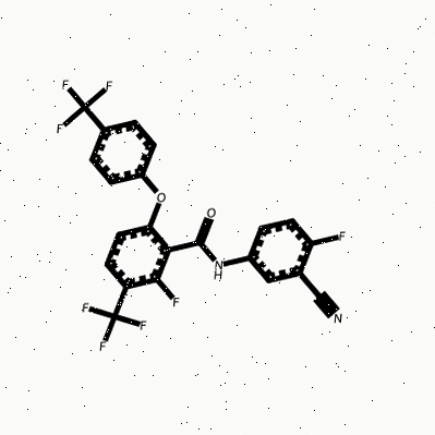 N#Cc1cc(NC(=O)c2c(Oc3ccc(C(F)(F)F)cc3)ccc(C(F)(F)F)c2F)ccc1F